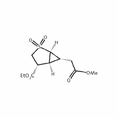 CCOC(=O)[C@@H]1CS(=O)(=O)[C@H]2[C@H](CC(=O)OC)[C@H]21